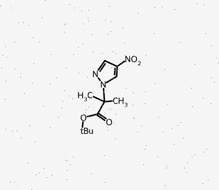 CC(C)(C)OC(=O)C(C)(C)n1cc([N+](=O)[O-])cn1